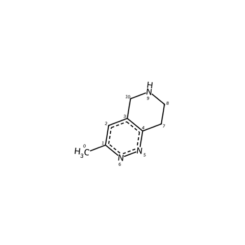 Cc1cc2c(nn1)CCNC2